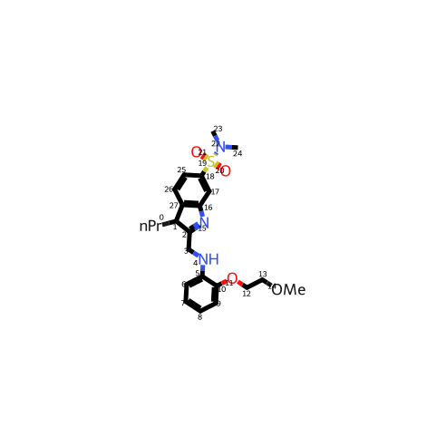 CCCC1C(CNc2ccccc2OCCOC)=Nc2cc(S(=O)(=O)N(C)C)ccc21